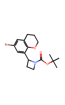 CC(C)(C)OC(=O)N1CCC1c1cc(Br)cc2c1OCCC2